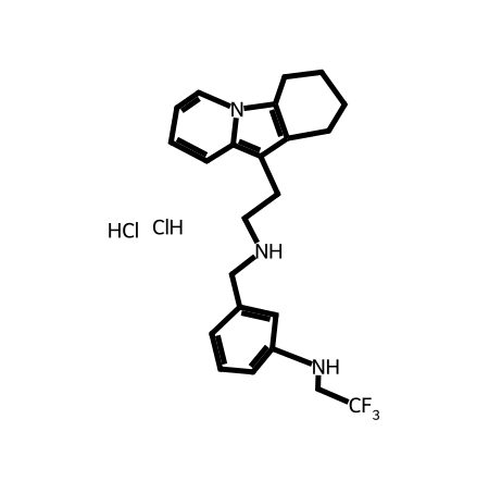 Cl.Cl.FC(F)(F)CNc1cccc(CNCCc2c3c(n4ccccc24)CCCC3)c1